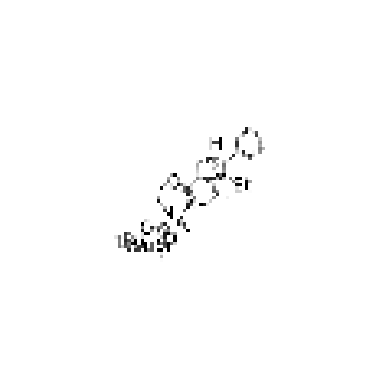 CCC1=C(c2ccccc2)[C@@H]2C=C3[C@]1(O2)[C@H](C)C[C@@]12CN(C(=O)OC(C)(C)C)CCO[C@@]31CC=C2[C@@H](C)O[Si](C)(C)C(C)(C)C